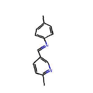 Cc1ccc(N=Cc2ccc(C)nc2)cc1